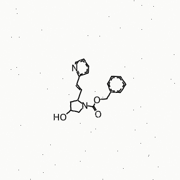 O=C(OCc1ccccc1)N1CC(O)CC1C=Cc1ccccn1